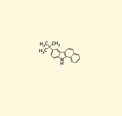 CC(C)(C)c1ccc2[nH]c3c4ccccc4ccc3c2c1